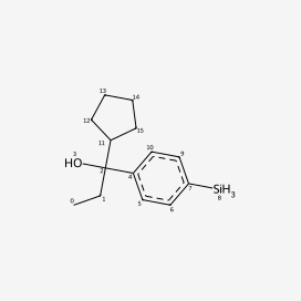 CCC(O)(c1ccc([SiH3])cc1)C1CCCC1